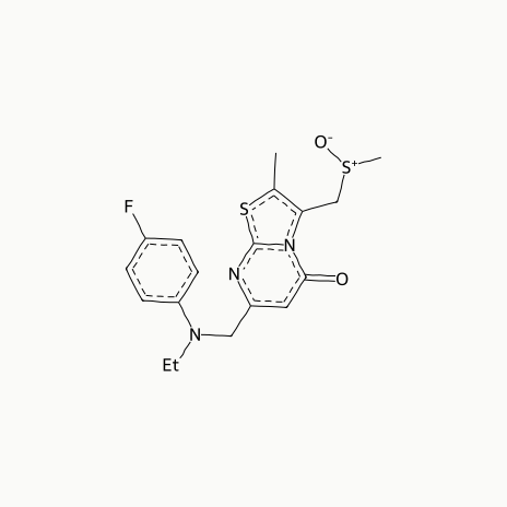 CCN(Cc1cc(=O)n2c(C[S+](C)[O-])c(C)sc2n1)c1ccc(F)cc1